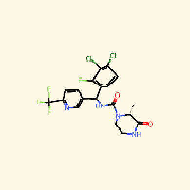 C[C@@H]1C(=O)NCCN1C(=O)N[C@@H](c1ccc(C(F)(F)F)nc1)c1ccc(Cl)c(Cl)c1F